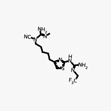 CN=C(N)N(C#N)CCCCCc1csc(NC(N)=NCC(F)(F)F)n1